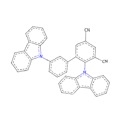 N#Cc1cc(C#N)c(-n2c3ccccc3c3ccccc32)c(-c2cccc(-n3c4ccccc4c4ccccc43)c2)c1